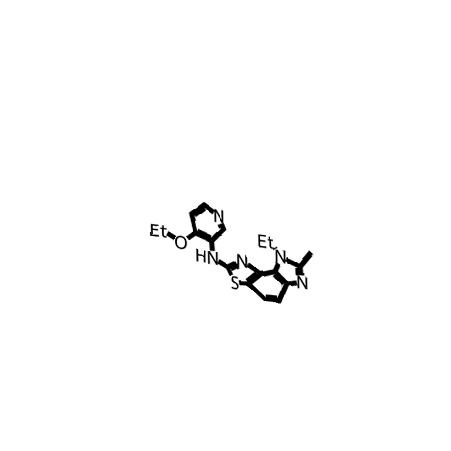 CCOc1ccncc1Nc1nc2c(ccc3nc(C)n(CC)c32)s1